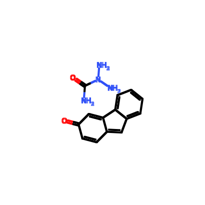 NC(=O)N(N)N.O=C1C=CC2=Cc3ccccc3C2=C1